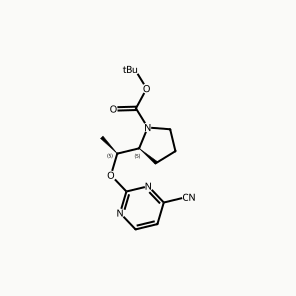 C[C@H](Oc1nccc(C#N)n1)[C@@H]1CCCN1C(=O)OC(C)(C)C